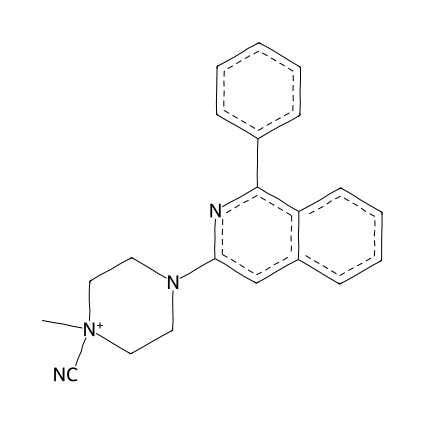 C[N+]1(C#N)CCN(c2cc3ccccc3c(-c3ccccc3)n2)CC1